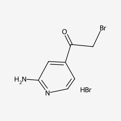 Br.Nc1cc(C(=O)CBr)ccn1